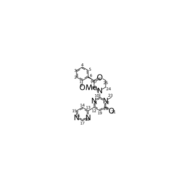 COc1ccccc1[C@@H]1CN(c2nc(-c3ccncn3)cc(=O)n2C)CCO1